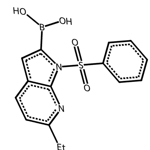 CCc1ccc2cc(B(O)O)n(S(=O)(=O)c3ccccc3)c2n1